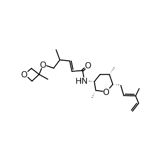 C=C/C(C)=C/C[C@@H]1O[C@H](C)[C@H](NC(=O)/C=C/C(C)COC2(C)COC2)C[C@@H]1C